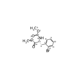 COC(=O)N[C@H](Cc1ccccc1Br)C(=O)OC